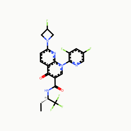 CC[C@H](NC(=O)c1cn(-c2ncc(F)cc2F)c2nc(N3CC(F)C3)ccc2c1=O)C(F)(F)F